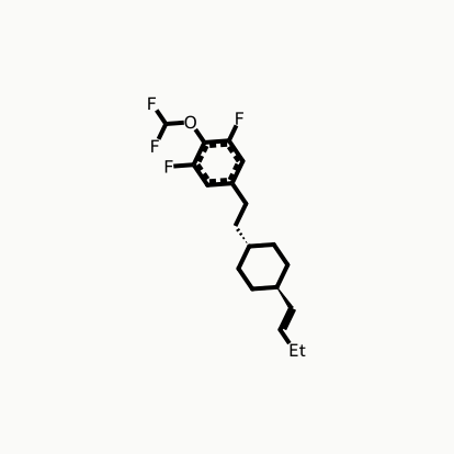 CC/C=C/[C@H]1CC[C@H](CCc2cc(F)c(OC(F)F)c(F)c2)CC1